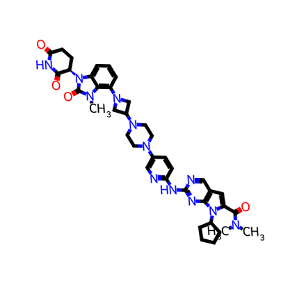 CN(C)C(=O)c1cc2cnc(Nc3ccc(N4CCN(C5CN(c6cccc7c6n(C)c(=O)n7[C@@H]6CCC(=O)NC6=O)C5)CC4)cn3)nc2n1C1CCCC1